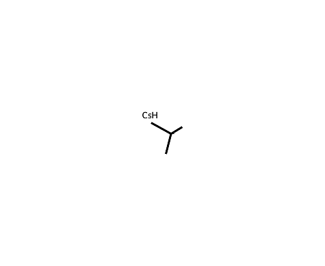 C[C](C)C.[CsH]